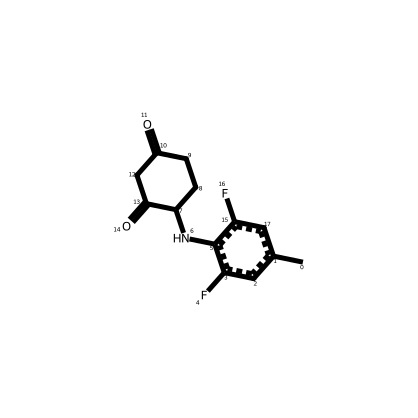 Cc1cc(F)c(NC2CCC(=O)CC2=O)c(F)c1